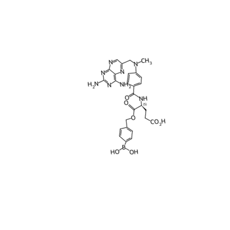 CN(Cc1cnc2nc(N)nc(N)c2n1)c1ccc(C(=O)N[C@@H](CCC(=O)O)C(=O)OCc2ccc(B(O)O)cc2)cc1